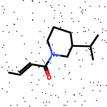 CC=CC(=O)N1CCCC(C(C)C)C1